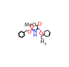 COC(=O)[C@H](COC1(C)CC=CCC1)NC(=O)OCc1ccccc1